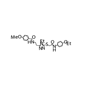 CCOc1ccc(NC(=O)CSc2nnc(CCNC(=O)c3ccc(OC)cc3)n2CC)cc1